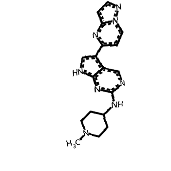 CN1CCC(Nc2ncc3c(-c4ccn5nccc5n4)c[nH]c3n2)CC1